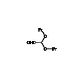 CC(C)OC([C]=O)OC(C)C